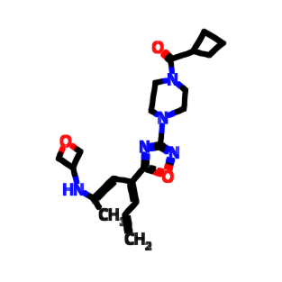 C=C/C=C(\C=C(/C)NC1COC1)c1nc(N2CCN(C(=O)C3CCC3)CC2)no1